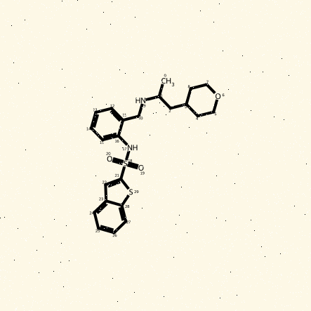 CC(CC1CCOCC1)NCc1ccccc1NS(=O)(=O)c1cc2ccccc2s1